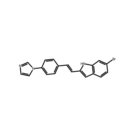 Brc1ccc2cc(/C=C/c3ccc(-n4ccnc4)cc3)[nH]c2c1